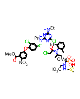 CCNc1nc(Cl)nc(NC(C)C)n1.CCc1cccc(C)c1N(C(=O)CCl)C(C)COC.COC(=O)c1cc(Oc2ccc(Cl)cc2Cl)ccc1[N+](=O)[O-].C[S+](C)C.O=C(O)CNCP(=O)([O-])O